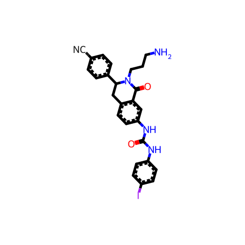 N#Cc1ccc(C2Cc3ccc(NC(=O)Nc4ccc(I)cc4)cc3C(=O)N2CCCN)cc1